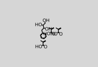 C=C(C)C(=O)O.C=C(C)C(=O)O.C=C(C)C(=O)O.OCC(O)C(O)Cc1ccccc1